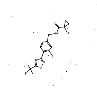 CC1(C(=O)NCc2ccc(-c3noc(C(F)(F)F)n3)c(F)c2)CC1